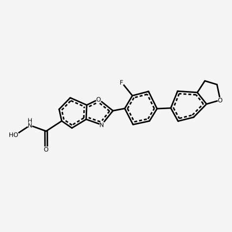 O=C(NO)c1ccc2oc(-c3ccc(-c4ccc5c(c4)CCO5)cc3F)nc2c1